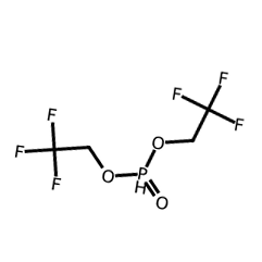 O=[PH](OCC(F)(F)F)OCC(F)(F)F